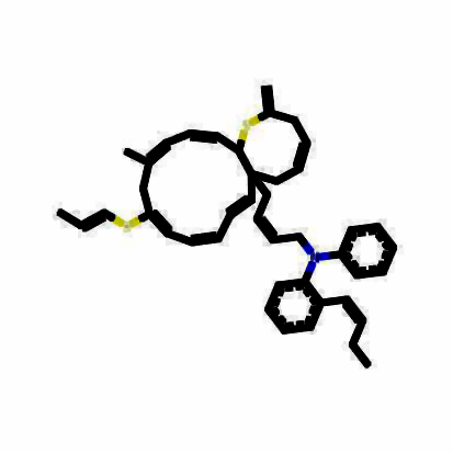 C=C1C/C=C\CC2(C/C=C\CN(c3ccccc3)c3ccccc3/C=C\CC)/C=C/C=C\C=C(\S/C=C/C)C/C(C)=C\C=C/C2S1